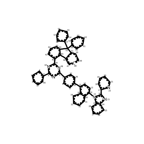 c1ccc(-c2nc(-c3ccc(-c4ccc(-n5c(-c6ccccn6)nc6ccccc65)c5ccccc45)cc3)nc(-c3cccc4c3-c3ccccc3C4(c3ccccc3)c3ccccc3)n2)cc1